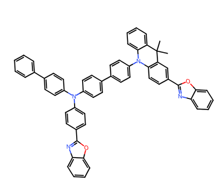 CC1(C)c2ccccc2N(c2ccc(-c3ccc(N(c4ccc(-c5ccccc5)cc4)c4ccc(-c5nc6ccccc6o5)cc4)cc3)cc2)c2ccc(-c3nc4ccccc4o3)cc21